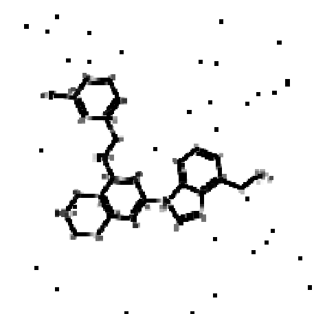 NCc1cccc2c1cnn2-c1nc2c(c(NCc3cccc(F)c3)n1)CNCC2